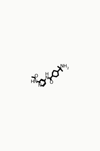 CC(=O)Nc1cc(NC(=O)C2CCC(C(C)(C)N)CC2)ccn1